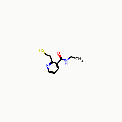 CCNC(=O)c1cccnc1CCS